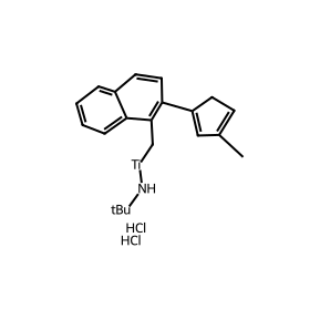 CC1=CCC(c2ccc3ccccc3c2[CH2][Ti][NH]C(C)(C)C)=C1.Cl.Cl